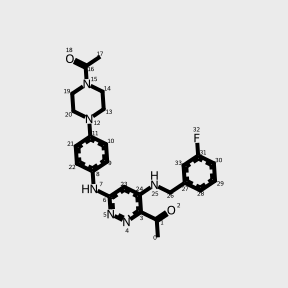 CC(=O)c1nnc(Nc2ccc(N3CCN(C(C)=O)CC3)cc2)cc1NCc1cccc(F)c1